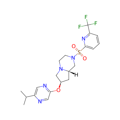 CC(C)c1cnc(O[C@@H]2C[C@H]3CN(S(=O)(=O)c4cccc(C(F)(F)F)n4)CCN3C2)cn1